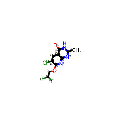 Cc1nc2nc(OCC(F)F)c(Cl)cc2c(=O)[nH]1